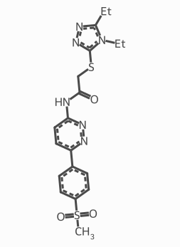 CCc1nnc(SCC(=O)Nc2ccc(-c3ccc(S(C)(=O)=O)cc3)nn2)n1CC